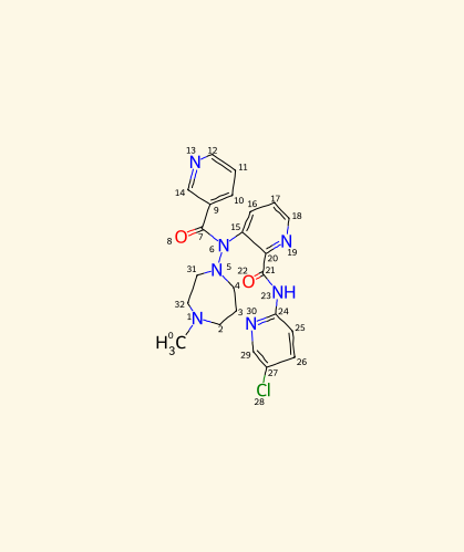 CN1CCCN(N(C(=O)c2cccnc2)c2cccnc2C(=O)Nc2ccc(Cl)cn2)CC1